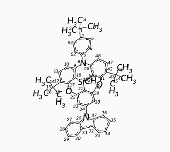 CC(C)(C)c1ccc(N2c3ccc(C(C)(C)C)c4c3[Si]3(C)c5c(cc(-n6c7ccccc7c7ccccc76)cc5Oc5c(C(C)(C)C)ccc2c53)O4)cc1